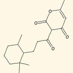 CC1=CC(=O)C(C(=O)CCC2C(C)CCCC2(C)C)C(=O)O1